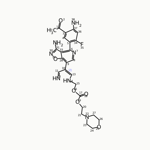 CC(=O)c1cc(-c2ncc(/C(C=N)=C/NCOC(=O)OCCN3CCOCC3)c3onc(N)c23)c(F)cc1N